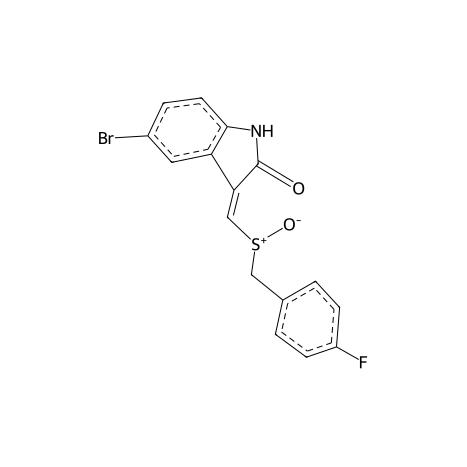 O=C1Nc2ccc(Br)cc2C1=C[S+]([O-])Cc1ccc(F)cc1